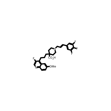 COc1ccc2ncc(F)c(CCCC3(C(=O)O)CCN(CC=Cc4cc(F)c(F)c(F)c4)CC3)c2c1